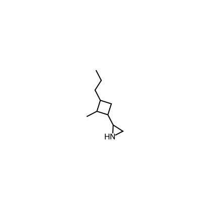 CCCC1CC(C2CN2)C1C